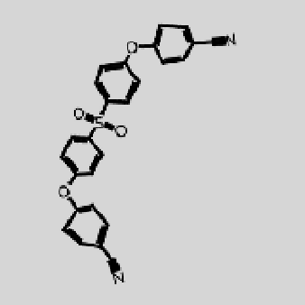 N#Cc1ccc(Oc2ccc(S(=O)(=O)c3ccc(Oc4ccc(C#N)cc4)cc3)cc2)cc1